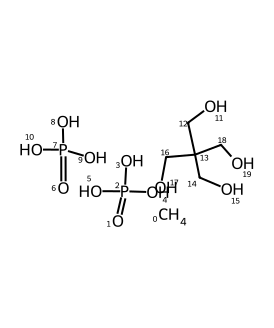 C.O=P(O)(O)O.O=P(O)(O)O.OCC(CO)(CO)CO